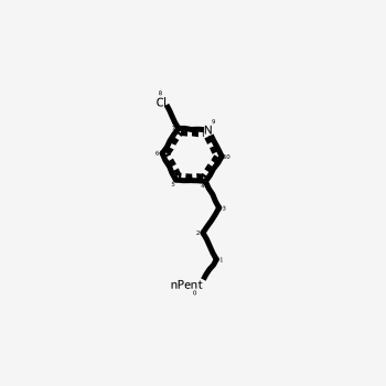 CCCCCCCCc1ccc(Cl)nc1